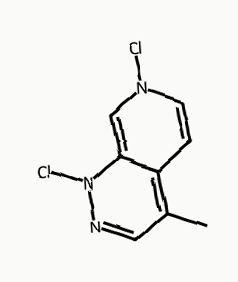 CC1=C2C=CN(Cl)C=C2N(Cl)N=C1